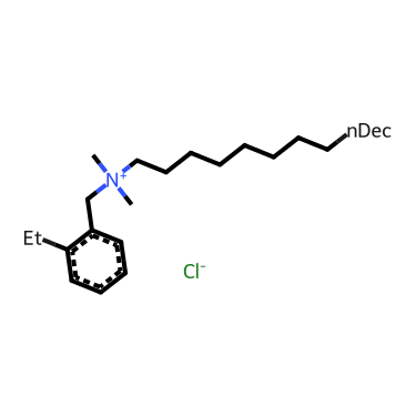 CCCCCCCCCCCCCCCCCC[N+](C)(C)Cc1ccccc1CC.[Cl-]